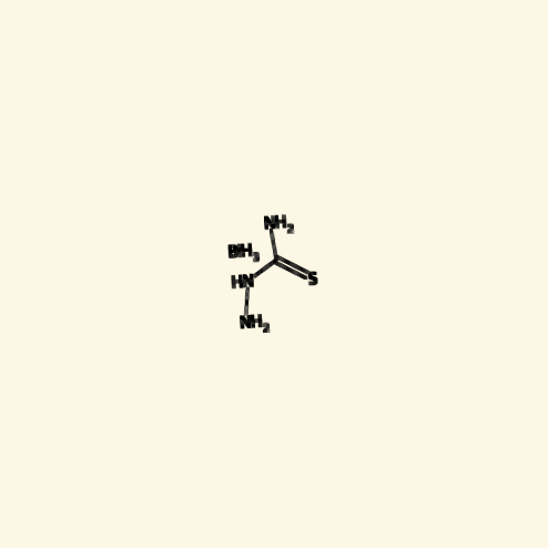 NNC(N)=S.[BiH3]